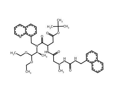 CCOC(OCC)[C@H](C)N(Cc1cccc2cccnc12)C(=O)C(CC(=O)OC(C)(C)C)NC(=O)CN(C)NC(=O)NCc1cccc2ccccc12